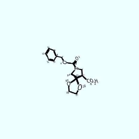 O=C(O)C1CN(C(=O)OCc2ccccc2)CC12OCCO2